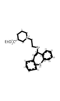 CCOC(=O)[C@@H]1CCCN(CCSC2=Cc3ccccc3Sc3ccccc32)C1